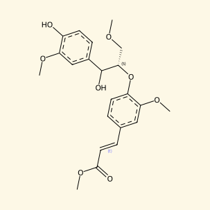 COC[C@H](Oc1ccc(/C=C/C(=O)OC)cc1OC)C(O)c1ccc(O)c(OC)c1